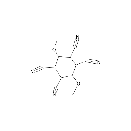 COC1C(C#N)C(C#N)C(OC)C(C#N)C1C#N